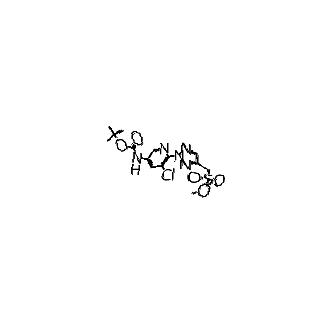 COS(=O)(=O)Cc1cnn(-c2ncc(NC(=O)OC(C)(C)C)cc2Cl)n1